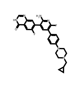 Nc1nc(F)c(-c2ccc(N3CCN(CC4CC4)CC3)cc2)cc1-c1cc2nc[nH]c(=O)c2cc1F